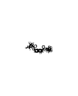 CCC(C)(C)CC(C)(C(=O)OC1CC2CC1C1C3CC(CC3C(=O)OCC(F)(F)C(F)(F)F)C21)C(C)(C)C